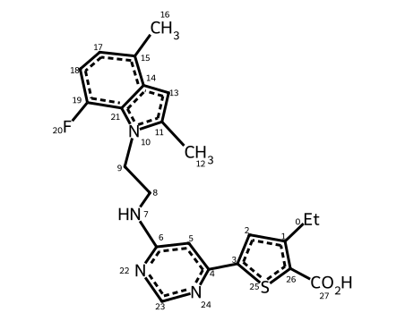 CCc1cc(-c2cc(NCCn3c(C)cc4c(C)ccc(F)c43)ncn2)sc1C(=O)O